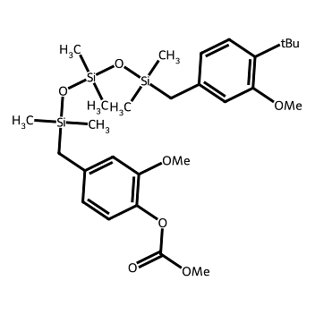 COC(=O)Oc1ccc(C[Si](C)(C)O[Si](C)(C)O[Si](C)(C)Cc2ccc(C(C)(C)C)c(OC)c2)cc1OC